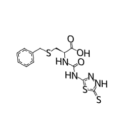 O=C(Nc1n[nH]c(=S)s1)N[C@@H](CSCc1ccccc1)C(=O)O